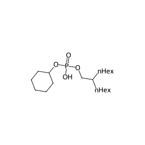 CCCCCCC(CCCCCC)COP(=O)(O)OC1CCCCC1